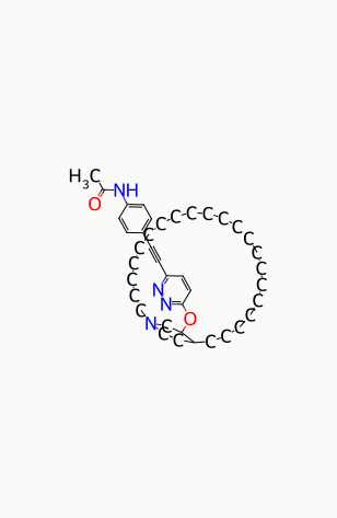 CC(=O)Nc1ccc(C#Cc2ccc(OC3CN4CCCCCCCCCCCCCCCCCCCCCC3CC4)nn2)cc1